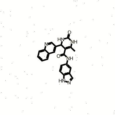 CC1=C(C(=O)Nc2ccc3[nH]ncc3c2)C(c2cnc3ccccc3c2)NC(=O)N1